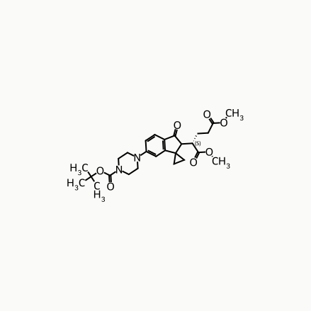 COC(=O)CC[C@H](C(=O)OC)C1C(=O)c2ccc(N3CCN(C(=O)OC(C)(C)C)CC3)cc2C12CC2